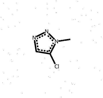 Cn1nncc1Cl